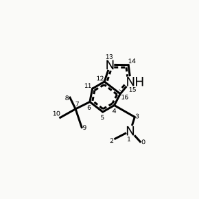 CN(C)Cc1cc(C(C)(C)C)cc2nc[nH]c12